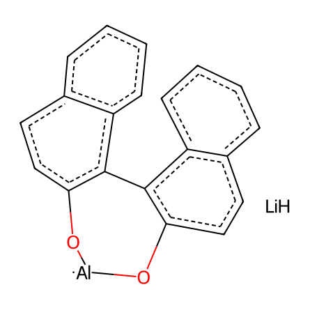 [LiH].c1ccc2c3c(ccc2c1)[O][Al][O]c1ccc2ccccc2c1-3